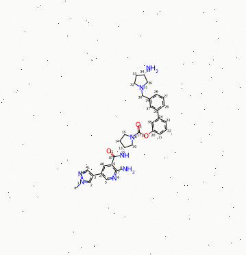 Cn1cc(-c2cnc(N)c(C(=O)N[C@@H]3CCN(C(=O)Oc4cccc(-c5cccc(CN6CC[C@H](N)C6)c5)c4)C3)c2)cn1